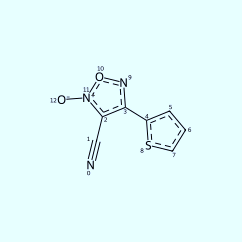 N#Cc1c(-c2cccs2)no[n+]1[O-]